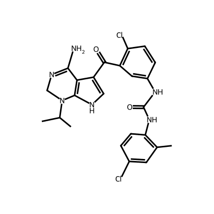 Cc1cc(Cl)ccc1NC(=O)Nc1ccc(Cl)c(C(=O)c2c[nH]c3c2C(N)=NCN3C(C)C)c1